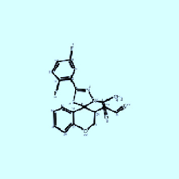 CC(=O)N1N=C(c2cc(F)ccc2F)SC12c1ccccc1OCC2CC=O